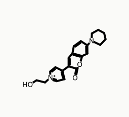 O=c1oc2cc(N3CCCCC3)ccc2cc1-c1cc[n+](CCO)cc1